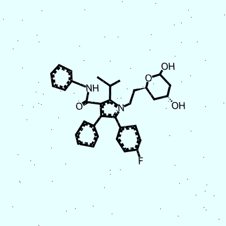 CC(C)c1c(C(=O)Nc2ccccc2)c(-c2ccccc2)c(-c2ccc(F)cc2)n1CC[C@@H]1C[C@@H](O)CC(O)O1